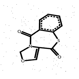 O=C1Sc2ccccc2C(=O)N2COC=C12